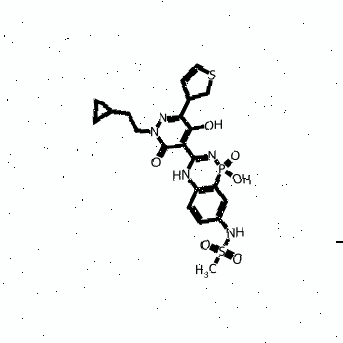 CS(=O)(=O)Nc1ccc2c(c1)P(=O)(O)N=C(c1c(O)c(C3C=CSC3)nn(CCC3CC3)c1=O)N2